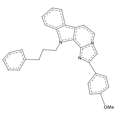 COc1ccc(-c2cn3ccc4c5ccccc5n(CCCc5ccccc5)c4c3n2)cc1